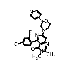 Cc1nc2cc(N3CCO[C@@H](c4ccncc4)C3)nc(-c3ccc(Cl)cc3F)c2c(=O)n1C